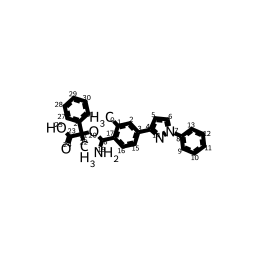 Cc1cc(-c2ccn(-c3ccccc3)n2)ccc1C(N)OC(C)(C(=O)O)c1ccccc1